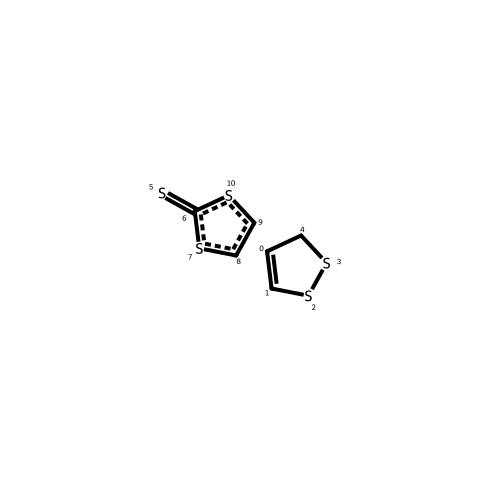 C1=CSSC1.S=c1sccs1